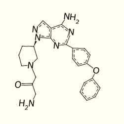 NCC(=O)CN1CCC[C@@H](n2ncc3c(N)nc(-c4ccc(Oc5ccccc5)cc4)nc32)C1